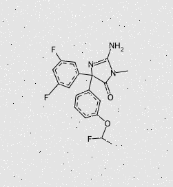 CC(F)Oc1cccc(C2(c3cc(F)cc(F)c3)N=C(N)N(C)C2=O)c1